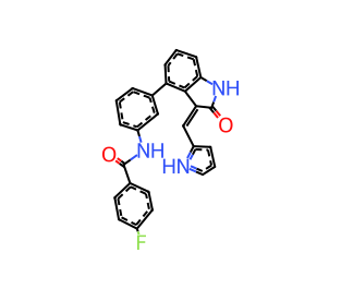 O=C1Nc2cccc(-c3cccc(NC(=O)c4ccc(F)cc4)c3)c2C1=Cc1ccc[nH]1